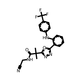 CC(C)(C(=O)NCC#N)c1nnc(-c2ccccc2Nc2ccc(C(F)(F)F)cc2)o1